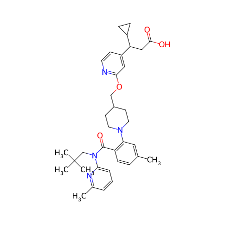 Cc1ccc(C(=O)N(CC(C)(C)C)c2cccc(C)n2)c(N2CCC(COc3cc(C(CC(=O)O)C4CC4)ccn3)CC2)c1